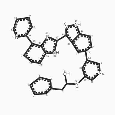 OC(Cc1ccccc1)Nc1cncc(-c2ccc3[nH]nc(-c4nc5c(-c6ccccn6)cccc5[nH]4)c3c2)c1